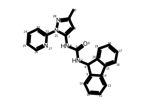 Cc1cc(NC(=O)NC2c3ccccc3-c3ccccc32)n(-c2ccccn2)n1